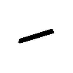 C=C/C=C/CCCCCCCCCCCCCCCCCCCCCCCC.C=C/C=C/CCCCCCCCCCCCCCCCCCCCCCCCC